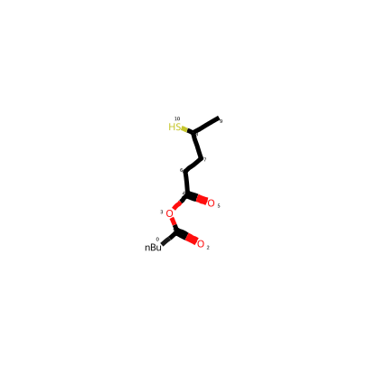 CCCCC(=O)OC(=O)CCC(C)S